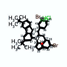 CC(C)(C)c1ccc2c(c1)-c1cc(C(C)(C)C)c[c]([Zr]([C]3=CC=CC3)=[C](Cc3cccc(Br)c3)Cc3cccc(Br)c3)c1C2.Cl.Cl